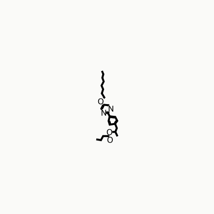 CCCCCCCCOc1cnc(-c2ccc(CC(C)OC(=O)CCC)cc2)nc1